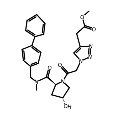 COC(=O)Cc1cn(CC(=O)N2C[C@H](O)C[C@H]2C(=O)N(C)Cc2ccc(-c3ccccc3)cc2)nn1